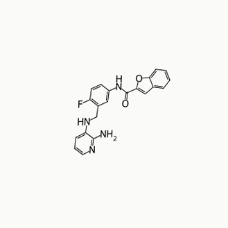 Nc1ncccc1NCc1cc(NC(=O)c2cc3ccccc3o2)ccc1F